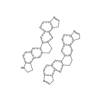 C1=Nc2ccc3cc4c(cc3c2C1)CCc1cc2c3c(ccc2cc1-4)N=CC3.C1=Nc2ccc3cc4c(cc3c2C1)CCc1cc2c3c(ccc2cc1-4)NCC3